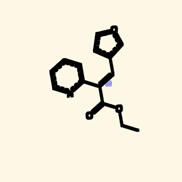 CCOC(=O)/C(=C/c1ccoc1)c1ccccn1